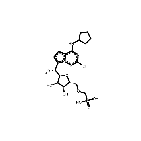 C[C@H](c1ccc2c(NC3CCCC3)nc(Cl)nn12)[C@H]1O[C@H](COCP(=O)(O)O)[C@@H](O)[C@H]1O